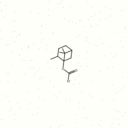 CCC(=O)OC12CC(CCC1C)C2(C)C